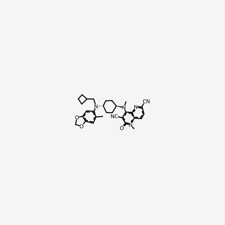 Cc1cc2c(cc1N(CC1CCC1)[C@H]1CC[C@H](N(C)c3c(C#N)c(=O)n(C)c4ccc(C#N)nc34)CC1)OCO2